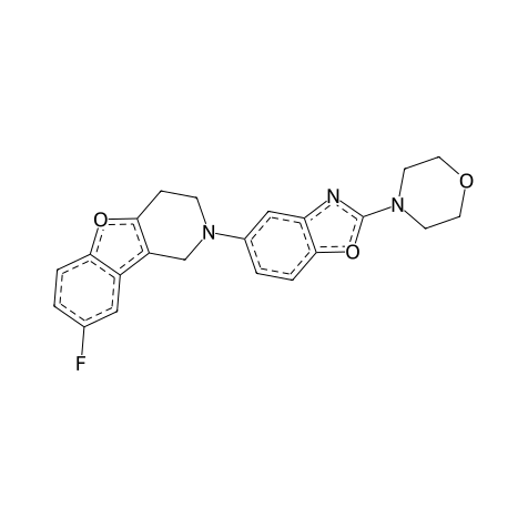 Fc1ccc2oc3c(c2c1)CN(c1ccc2oc(N4CCOCC4)nc2c1)CC3